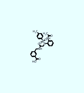 CC(=O)Nc1ccccc1N(CC(=O)NCc1cccc(C(=O)O)c1)S(=O)(=O)c1ccc(C)cc1